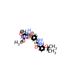 CCC(C)Oc1cccc(C(=O)NC(=S)Nc2ccc(S(=O)(=O)Nc3cc(OC)nc(OC)n3)cc2)c1